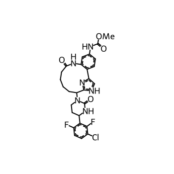 COC(=O)Nc1ccc2c(c1)NC(=O)CCCCC(N1CCC(c3c(F)ccc(Cl)c3F)NC1=O)c1nc-2c[nH]1